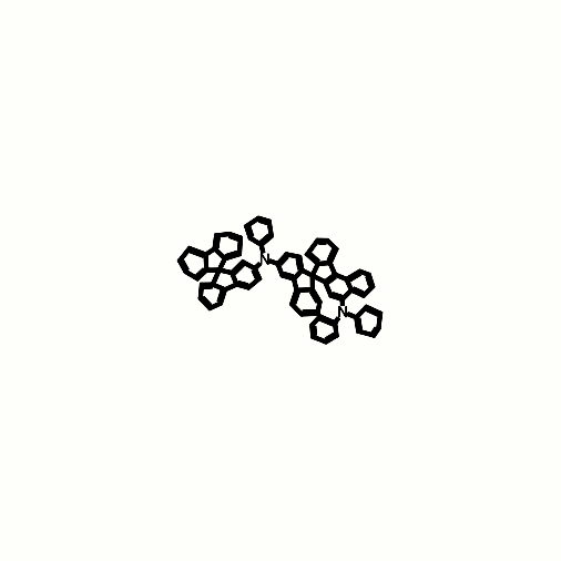 c1ccc(N(c2ccc3c(c2)-c2ccccc2C32c3ccccc3-c3c2cc(N(c2ccccc2)c2ccccc2)c2ccccc32)c2ccc3c(c2)C2(c4ccccc4-c4ccccc42)c2ccccc2-3)cc1